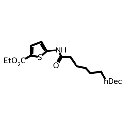 CCCCCCCCCCCCCCCC(=O)Nc1ccc(C(=O)OCC)s1